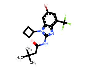 CC(C)(C)CC(=O)Nc1nc2c(C(F)(F)F)cc(Br)cc2n1C1CCC1